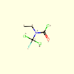 CCN(C(=O)Cl)C(F)(Cl)Cl